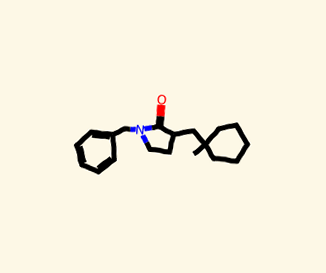 CC1(CC2CCN(Cc3ccccc3)C2=O)CCCCC1